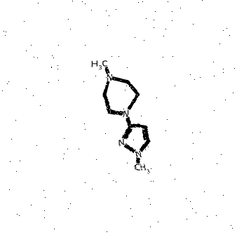 CN1CCN(c2ccn(C)n2)CC1